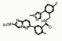 CC(=O)Nc1cn2nc(-c3ccc(C)c(C(=O)NCc4cc(F)ccc4-c4cnn(C)c4)c3)ccc2n1